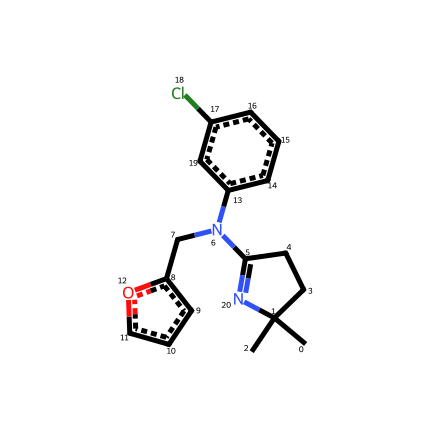 CC1(C)CCC(N(Cc2ccco2)c2cccc(Cl)c2)=N1